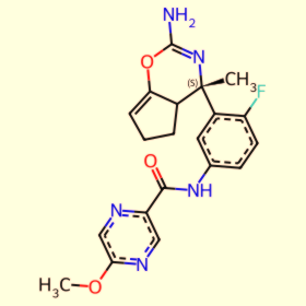 COc1cnc(C(=O)Nc2ccc(F)c([C@@]3(C)N=C(N)OC4=CCCC43)c2)cn1